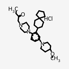 CCC(=O)CN1CCN(c2ccc(N3CCC(OC)CC3)cc2C2CCC3(CCCC3)CC2)CC1.Cl